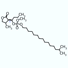 CCC/C(OP(=O)(OC)OCCCCCCCCCCCCCC(C)C)=C1\C(=O)OCC1C